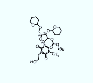 Cc1cn([C@@H]2O[C@H](COC3CCCCO3)[C@H](OC3CCCCO3)C2OC(=O)OC(C)(C)C)c(=O)n(CCO)c1=O